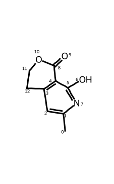 Cc1cc2c(c(O)n1)C(=O)OCC2